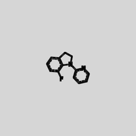 Fc1cccc2c1N(c1ccccn1)CC2